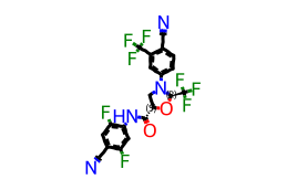 N#Cc1cc(F)c(NC(=O)[C@@H]2CN(c3ccc(C#N)c(C(F)(F)F)c3)[C@@H](C(F)(F)F)O2)cc1F